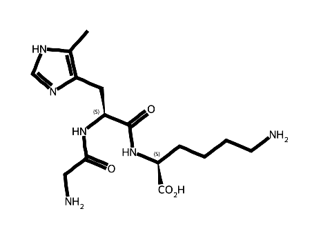 Cc1[nH]cnc1C[C@H](NC(=O)CN)C(=O)N[C@@H](CCCCN)C(=O)O